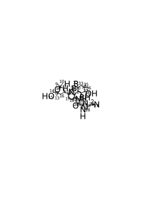 BC1=C(c2nc(C3CC(C)(C)OC(C)(CO)C3)ccc2NC(=O)c2nc(C#N)c[nH]2)C(B)(B)CC(C)(C)C1O